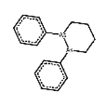 c1ccc([As]2CCCC[As]2c2ccccc2)cc1